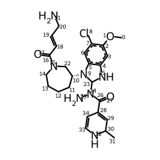 COc1cc2c(cc1Cl)N([C@@H]1CCCCN(C(=O)/C=C/CN)C1)C(N(N)C(=O)C1=CC(C)NC=C1)N2